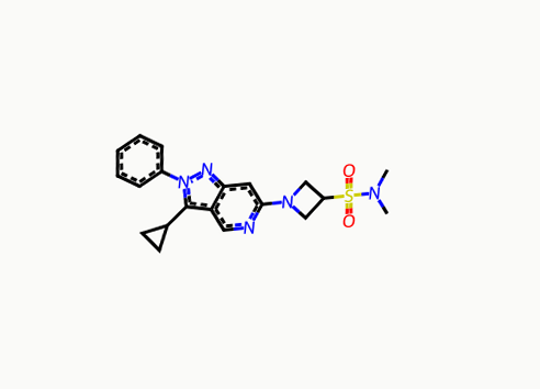 CN(C)S(=O)(=O)C1CN(c2cc3nn(-c4ccccc4)c(C4CC4)c3cn2)C1